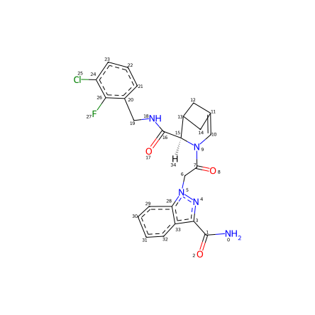 NC(=O)c1nn(CC(=O)N2C=C3CC(C3)[C@@H]2C(=O)NCc2cccc(Cl)c2F)c2ccccc12